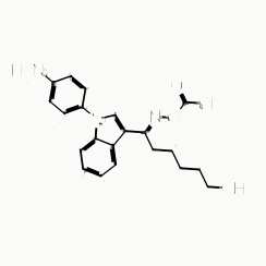 CCCCCC/C(=N\OC(C)=O)c1cn(-c2ccc(N)cc2)c2ccccc12